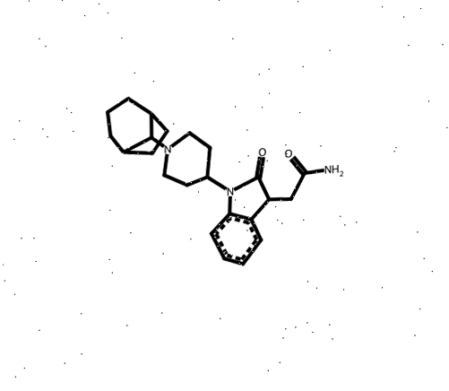 NC(=O)CC1C(=O)N(C2CCN(C3C4CCCC3CC4)CC2)c2ccccc21